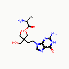 CC(C)[C@H](N)C(=O)OCC(CO)(CO)CCn1cnc2c(=O)[nH]c(N)nc21